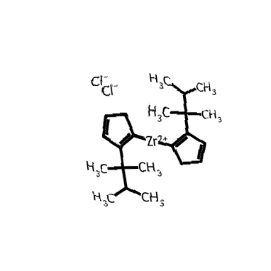 CC(C)C(C)(C)C1=[C]([Zr+2][C]2=C(C(C)(C)C(C)C)C=CC2)CC=C1.[Cl-].[Cl-]